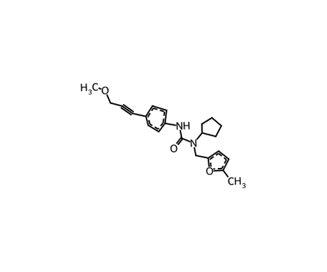 COCC#Cc1ccc(NC(=O)N(Cc2ccc(C)o2)C2CCCC2)cc1